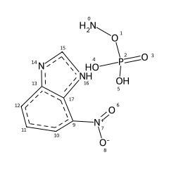 NOP(=O)(O)O.O=[N+]([O-])c1cccc2nc[nH]c12